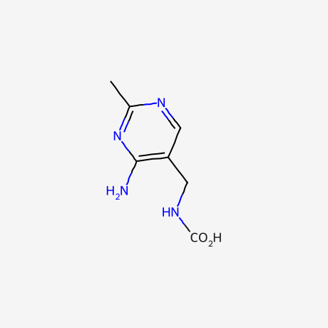 Cc1ncc(CNC(=O)O)c(N)n1